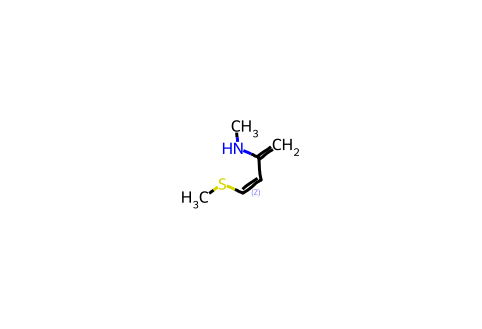 C=C(/C=C\SC)NC